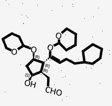 O=CC[C@@H]1[C@@H](C(=CCCC2CCCCC2)OC2CCCCO2)[C@H](OC2CCCCO2)C[C@@H]1O